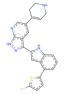 Fc1ccc(-c2cccc3[nH]c(-c4n[nH]c5ncc(C6=CCNCC6)cc45)cc23)s1